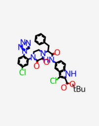 CC(C)(C)OC(=O)c1[nH]c2ccc(NC(=O)C(Cc3ccccc3)N3CCN(c4cc(Cl)ccc4-n4cnnn4)C(=O)C3=O)cc2c1Cl